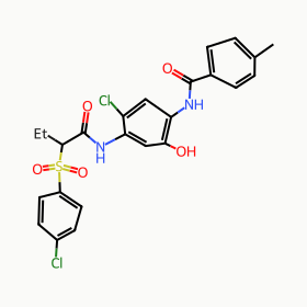 CCC(C(=O)Nc1cc(O)c(NC(=O)c2ccc(C)cc2)cc1Cl)S(=O)(=O)c1ccc(Cl)cc1